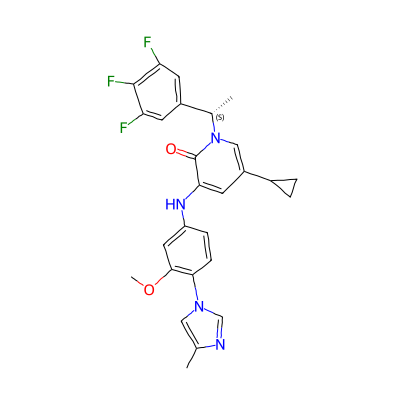 COc1cc(Nc2cc(C3CC3)cn([C@@H](C)c3cc(F)c(F)c(F)c3)c2=O)ccc1-n1cnc(C)c1